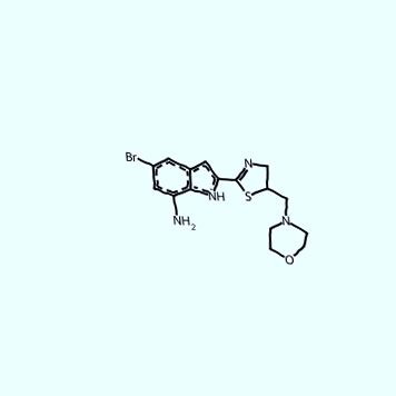 Nc1cc(Br)cc2cc(C3=NCC(CN4CCOCC4)S3)[nH]c12